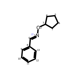 [C](=N\OC1CCCC1)/c1ccccc1